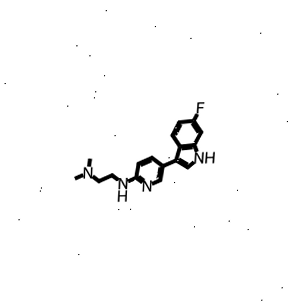 CN(C)CCNc1ccc(-c2c[nH]c3cc(F)ccc23)cn1